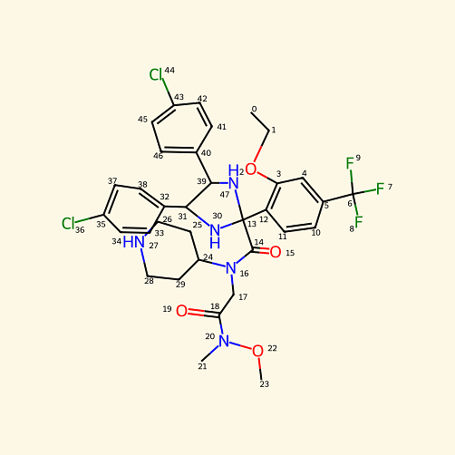 CCOc1cc(C(F)(F)F)ccc1C1(C(=O)N(CC(=O)N(C)OC)C2CCNCC2)NC(c2ccc(Cl)cc2)C(c2ccc(Cl)cc2)N1